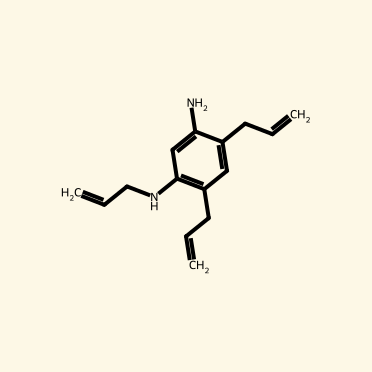 C=CCNc1cc(N)c(CC=C)cc1CC=C